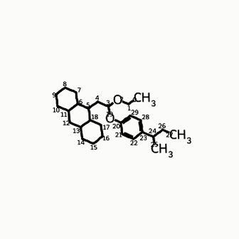 CCOC(CC1C2CCCCC2CC2CCCCC21)Oc1ccc(C(C)CC)cc1